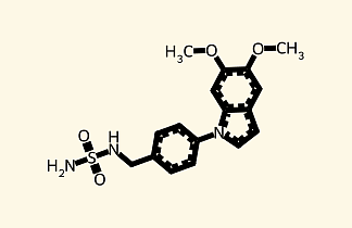 COc1cc2ccn(-c3ccc(CNS(N)(=O)=O)cc3)c2cc1OC